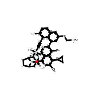 COCOc1cc(-c2ncc3c(N4CC5CCC(C4)N5C(=O)OC(C)(C)C)nc(Cl)c(C4CC4)c3c2F)c2c(C#C[Si](C(C)C)(C(C)C)C(C)C)c(F)ccc2c1